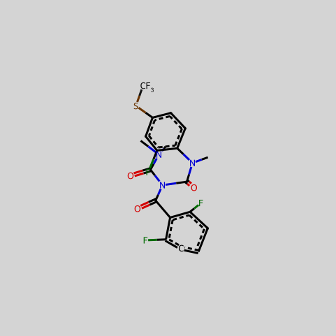 CN(C)C(=O)N(C(=O)c1c(F)cccc1F)C(=O)N(C)c1ccc(SC(F)(F)F)cc1F